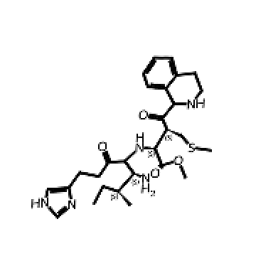 CC[C@H](C)[C@H](N)C(N[C@H](C(=O)OC)[C@H](CSC)C(=O)C1NCCc2ccccc21)C(=O)CCc1c[nH]cn1